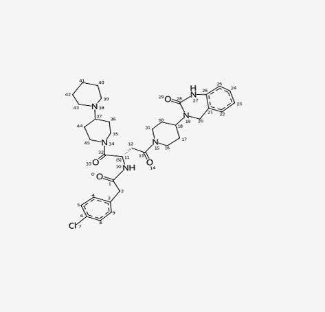 O=C(Cc1ccc(Cl)cc1)N[C@@H](CC(=O)N1CCC(N2Cc3ccccc3NC2=O)CC1)C(=O)N1CCC(N2CCCCC2)CC1